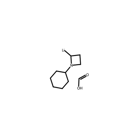 O=CO.[Li][CH]1CCN1C1CCCCC1